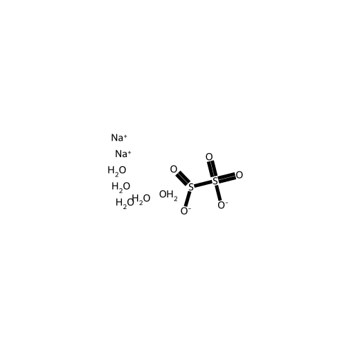 O.O.O.O.O.O=S([O-])S(=O)(=O)[O-].[Na+].[Na+]